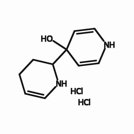 Cl.Cl.OC1(C2CCC=CN2)C=CNC=C1